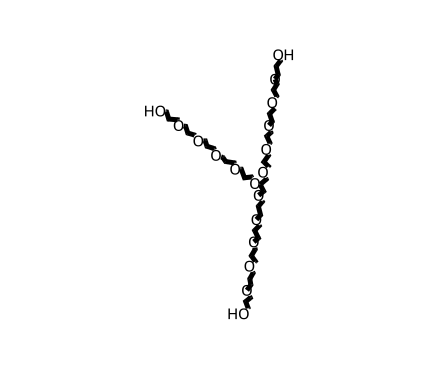 OCCCOCCCOCCCOCCCOCCCOCC(COCCCOCCCOCCCOCCCOCCCO)OCCCOCCCOCCCOCCCOCCCO